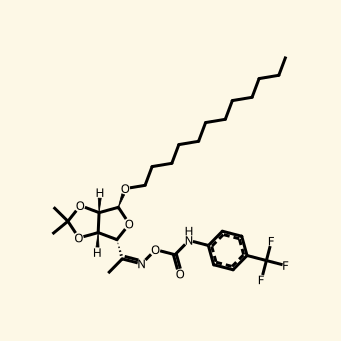 CCCCCCCCCCCCO[C@H]1O[C@H](/C(C)=N\OC(=O)Nc2ccc(C(F)(F)F)cc2)[C@@H]2OC(C)(C)O[C@H]12